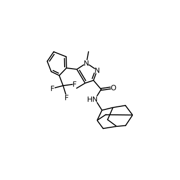 Cc1c(C(=O)NC2C3CC4CC(C3)CC2C4)nn(C)c1-c1ccccc1C(F)(F)F